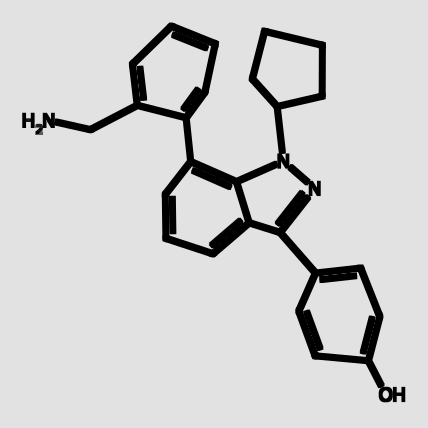 NCc1ccccc1-c1cccc2c(-c3ccc(O)cc3)nn(C3CCCC3)c12